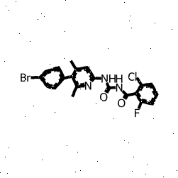 Cc1cc(NC(=O)NC(=O)c2c(F)cccc2Cl)nc(C)c1-c1ccc(Br)cc1